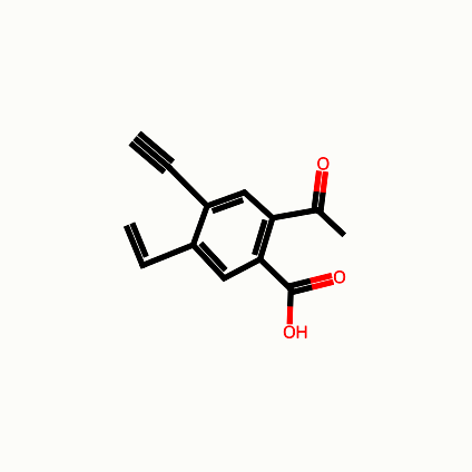 C#Cc1cc(C(C)=O)c(C(=O)O)cc1C=C